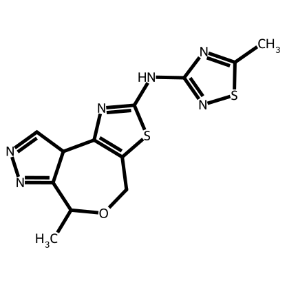 Cc1nc(Nc2nc3c(s2)COC(C)C2=NN=CC23)ns1